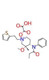 CCC(=O)N(c1ccccc1)[C@H]1CC[N+](CCc2cccs2)(OC(=O)C(=O)O)C[C@@]1(C)OC